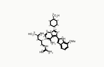 COc1cccc2cc(-c3nc([C@H]4CC[C@H](C(=O)O)CC4)n4ncnc(N)c34)[nH]c12.N=C(N)NCCC[C@H](N)C(=O)O